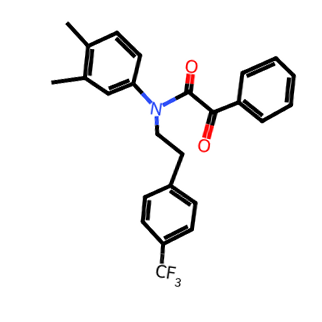 Cc1ccc(N(CCc2ccc(C(F)(F)F)cc2)C(=O)C(=O)c2ccccc2)cc1C